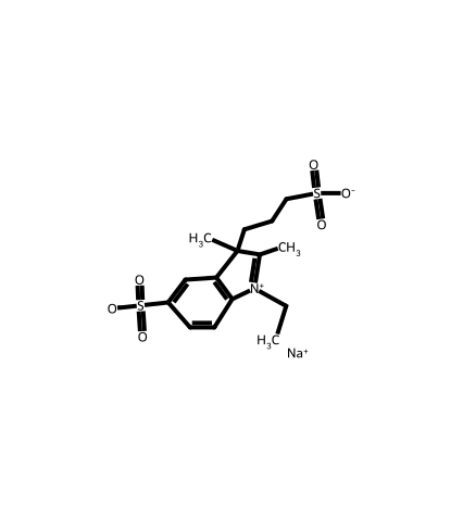 CC[N+]1=C(C)C(C)(CCCS(=O)(=O)[O-])c2cc(S(=O)(=O)[O-])ccc21.[Na+]